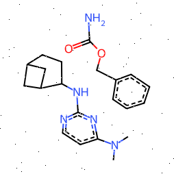 CN(C)c1ccnc(NC2CCC3CC2C3)n1.NC(=O)OCc1ccccc1